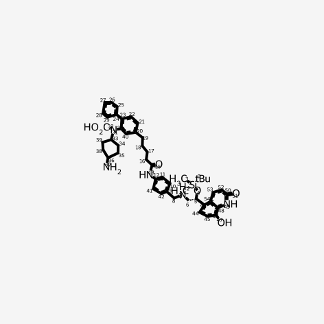 CC(C)(C)[Si](C)(C)O[C@@H](CNCc1ccc(NC(=O)CCCCc2ccc(-c3ccccc3)c(N(C(=O)O)C3CCC(N)CC3)c2)cc1)c1ccc(O)c2[nH]c(=O)ccc12